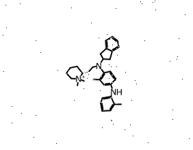 Cc1ccccc1Nc1ccc(N(CC[C@H]2CCCC[N+]2(C)C)C2Cc3ccccc3C2)c(C)c1